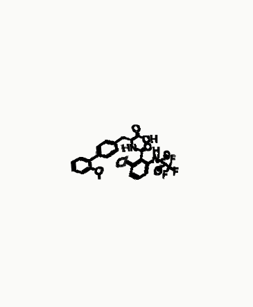 COc1ccccc1-c1ccc(C[C@H](NC(=O)c2c(Cl)cccc2NS(=O)(=O)C(F)(F)F)C(=O)O)cc1